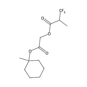 CC(C(=O)OCC(=O)OC1(C)CCCCC1)C(F)(F)F